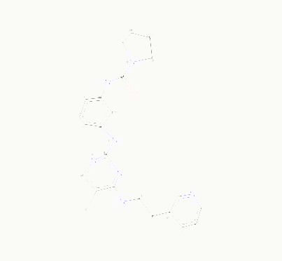 O=C(Nc1cccc(Nc2ncc(Br)c(NCCc3cccnc3)n2)c1)N1CCCC1